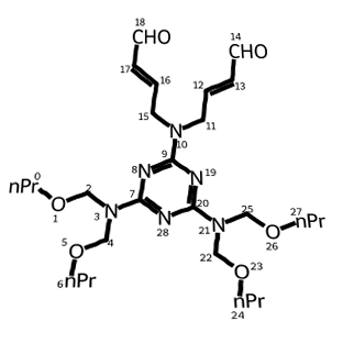 CCCOCN(COCCC)c1nc(N(C/C=C/C=O)C/C=C/C=O)nc(N(COCCC)COCCC)n1